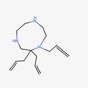 C=CCN1CCNCCNCC1(CC=C)CC=C